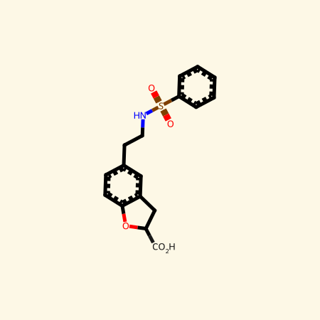 O=C(O)C1Cc2cc(CCNS(=O)(=O)c3ccccc3)ccc2O1